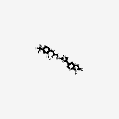 NC(CNc1ncc(-c2cnc3c(c2)CC(=O)N3)s1)Cc1ccc(C(F)(F)F)cc1